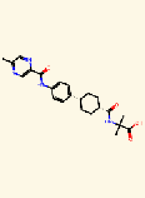 Cc1cnc(C(=O)Nc2ccc([C@H]3CC[C@@H](C(=O)NC(C)(C)C(=O)O)CC3)cc2)cn1